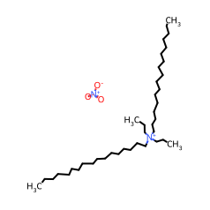 CCCCCCCCCCCCCCCCC[N+](CCC)(CCC)CCCCCCCCCCCCCCCCC.O=[N+]([O-])[O-]